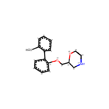 COc1ccccc1-c1ccccc1OCC1CNCCO1